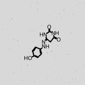 O=C1C/C(=N\Nc2ccc(O)cc2)NC(=O)N1